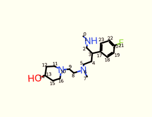 CNCC(CCN(C)CCN1CCC(O)CC1)c1ccc(F)cc1